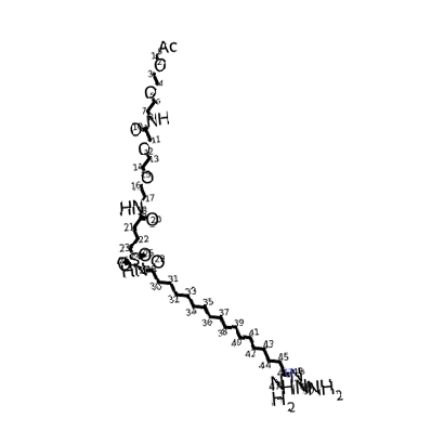 CC(=O)COCCOCCNC(=O)COCCOCCNC(=O)CCCS(=O)(=O)NC(=O)CCCCCCCCCCCCCCCC/C(N)=N/NN